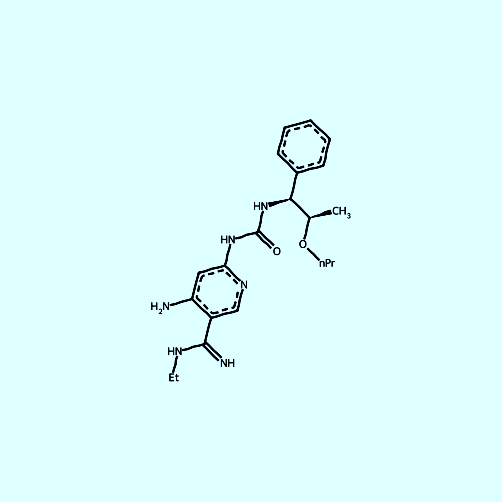 CCCO[C@H](C)[C@@H](NC(=O)Nc1cc(N)c(C(=N)NCC)cn1)c1ccccc1